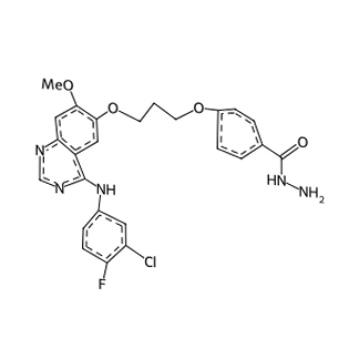 COc1cc2ncnc(Nc3ccc(F)c(Cl)c3)c2cc1OCCCOc1ccc(C(=O)NN)cc1